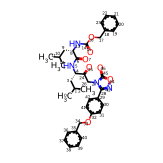 CC(C)C[C@H](NC(=O)[C@H](CC(C)C)NC(=O)OCc1ccccc1)C(=O)Cn1c(-c2ccc(OCc3ccccc3)cc2)noc1=O